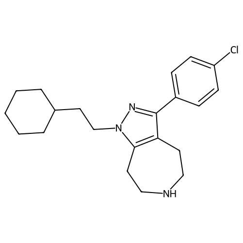 Clc1ccc(-c2nn(CCC3CCCCC3)c3c2CCNCC3)cc1